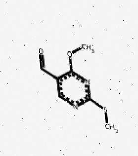 COc1nc(SC)ncc1C=O